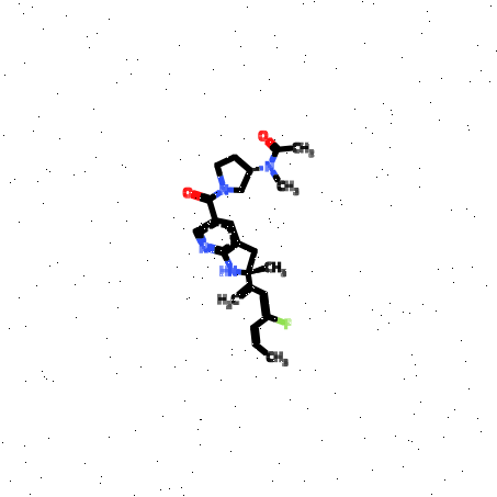 C=C(/C=C(F)\C=C/C)[C@@]1(C)Cc2cc(C(=O)N3CC[C@H](N(C)C(C)=O)C3)cnc2N1